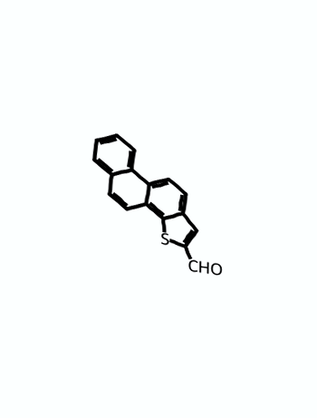 O=Cc1cc2ccc3c4ccccc4ccc3c2s1